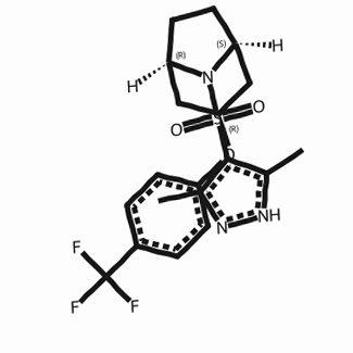 Cc1n[nH]c(C)c1S(=O)(=O)N1[C@@H]2CC[C@H]1C[C@@H](Oc1ccc(C(F)(F)F)cc1)C2